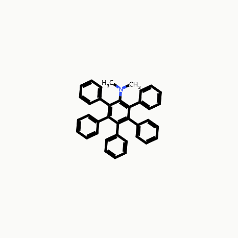 CN(C)c1c(-c2ccccc2)c(-c2ccccc2)c(-c2ccccc2)c(-c2ccccc2)c1-c1ccccc1